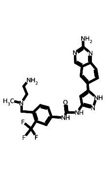 CN(CCN)Cc1ccc(NC(=O)Nc2cc(-c3ccc4nc(N)ncc4c3)[nH]n2)cc1C(F)(F)F